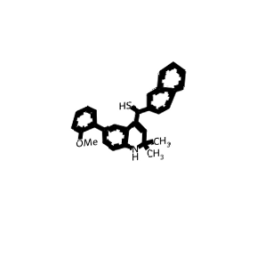 COc1ccccc1-c1ccc2c(c1)C(C(S)c1ccc3ccccc3c1)=CC(C)(C)N2